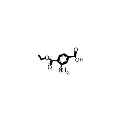 CCOC(=O)c1ccc(C(=O)O)cc1N